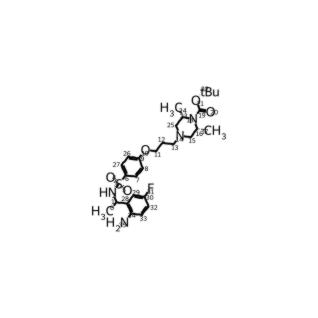 CC(NS(=O)(=O)c1ccc(OCCCN2C[C@@H](C)N(C(=O)OC(C)(C)C)[C@@H](C)C2)cc1)c1cc(F)ccc1N